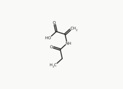 C=C(NC(=O)CC)C(=O)O